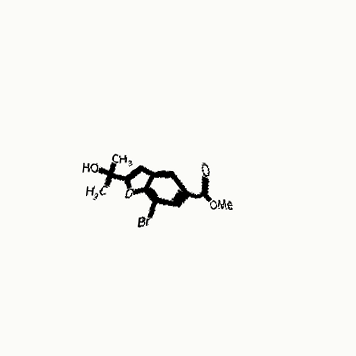 COC(=O)c1cc(Br)c2oc(C(C)(C)O)cc2c1